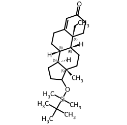 CC[C@]12CCC(=O)C=C1CC[C@@H]1[C@H]2CC[C@]2(C)C(O[Si](C)(C)C(C)(C)C)CC[C@@H]12